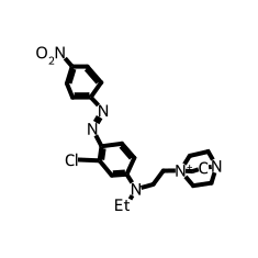 CCN(CC[N+]12CCN(CC1)CC2)c1ccc(N=Nc2ccc([N+](=O)[O-])cc2)c(Cl)c1